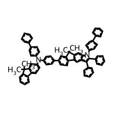 CC1(C)c2ccccc2-c2ccc(N(c3ccc(-c4ccccc4)cc3)c3ccc(-c4ccc5c(c4)C(C)(C)c4cc6c(cc4-5)c(-c4ccccc4)c(-c4ccccc4)n6-c4ccc(-c5ccccc5)cc4)cc3)cc21